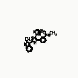 COC(=O)c1cccc(-c2nc(-c3c(C)nn4ccccc34)sc2-c2nc[nH]n2)c1